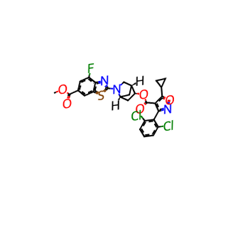 COC(=O)c1cc(F)c2nc(N3C[C@H]4C[C@@H]3C[C@@H]4OC(=O)c3c(-c4c(Cl)cccc4Cl)noc3C3CC3)sc2c1